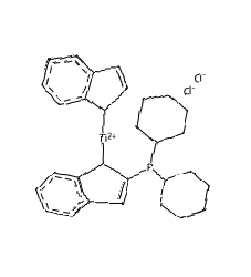 C1=C[CH]([Ti+2][CH]2C(P(C3CCCCC3)C3CCCCC3)=Cc3ccccc32)c2ccccc21.[Cl-].[Cl-]